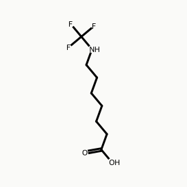 O=C(O)CCCCCCNC(F)(F)F